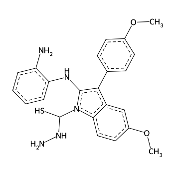 COc1ccc(-c2c(Nc3ccccc3N)n(C(S)NN)c3ccc(OC)cc23)cc1